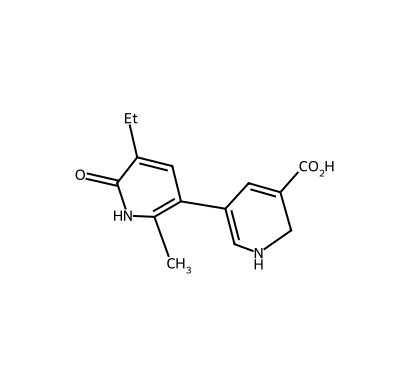 CCc1cc(C2=CNCC(C(=O)O)=C2)c(C)[nH]c1=O